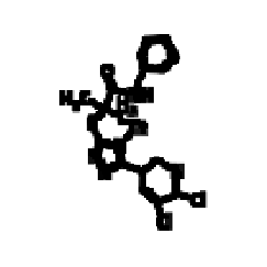 CCn1c(SC(C)(C)C(=O)Nc2ccccc2)nnc1C1C=C(Cl)C(Cl)=NC1